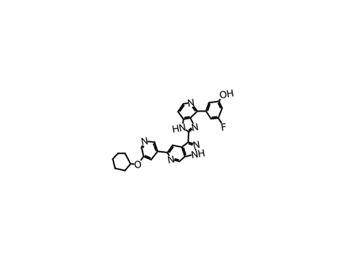 Oc1cc(F)cc(-c2nccc3[nH]c(-c4n[nH]c5cnc(-c6cncc(OC7CCCCC7)c6)cc45)nc23)c1